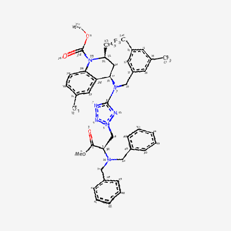 COC(=O)[C@@H](Cn1nnc(N(Cc2cc(C(F)(F)F)cc(C(F)(F)F)c2)[C@@H]2C[C@H](C)N(C(=O)OC(C)C)c3ccc(C(F)(F)F)cc32)n1)N(Cc1ccccc1)Cc1ccccc1